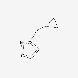 [c]1cc(CC2CC2)no1